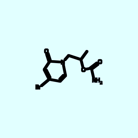 CC(Cn1ccc(Br)cc1=O)OC(N)=O